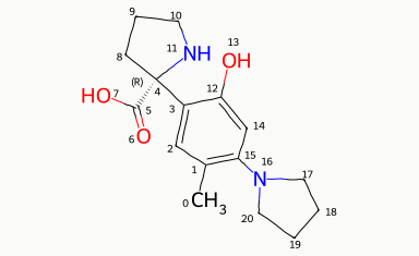 Cc1cc([C@@]2(C(=O)O)CCCN2)c(O)cc1N1CCCC1